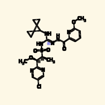 COc1cccc(C(=O)N/N=C(\NC2C3(CC3)C23CC3)NS(=O)(=O)[C@@H](C)[C@H](OC)c2ncc(Cl)cn2)n1